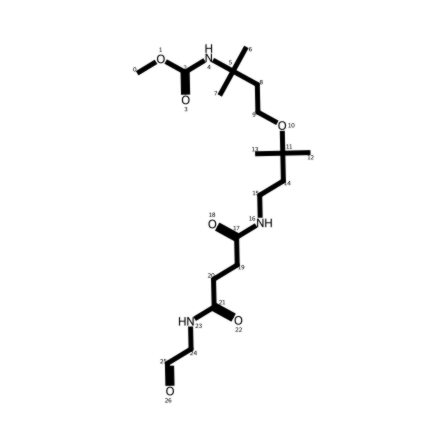 COC(=O)NC(C)(C)CCOC(C)(C)CCNC(=O)CCC(=O)NCC=O